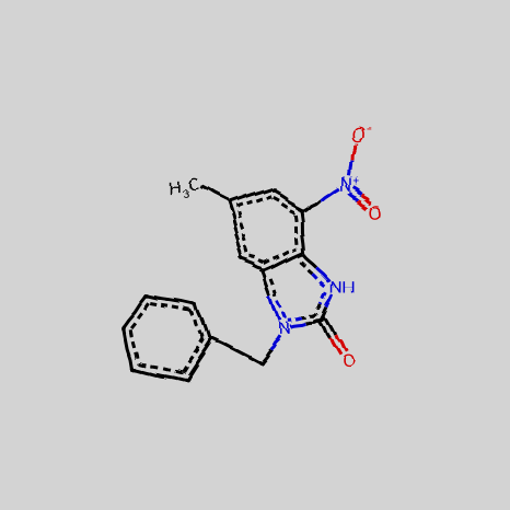 Cc1cc([N+](=O)[O-])c2[nH]c(=O)n(Cc3ccccc3)c2c1